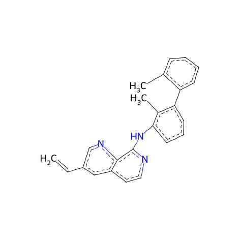 C=Cc1cnc2c(Nc3cccc(-c4ccccc4C)c3C)nccc2c1